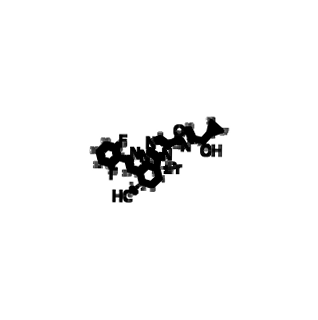 C#C[C@H]1CC[C@@](c2cncc(-c3nc([C@@H](O)C4CC4)co3)n2)(C(C)C)c2nnc(-c3c(F)cccc3F)cc21